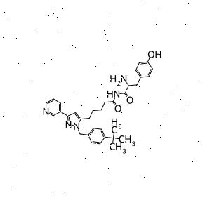 CC(C)(C)c1ccc(Cn2nc(-c3cccnc3)cc2CCCCC(=O)NC(=O)C(N)Cc2ccc(O)cc2)cc1